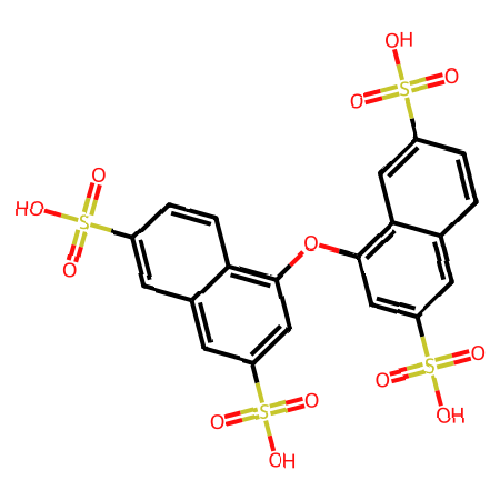 O=S(=O)(O)c1ccc2c(Oc3cc(S(=O)(=O)O)cc4ccc(S(=O)(=O)O)cc34)cc(S(=O)(=O)O)cc2c1